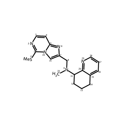 CSc1nccc2nc(CN(C)C3CCCc4cccnc43)cn12